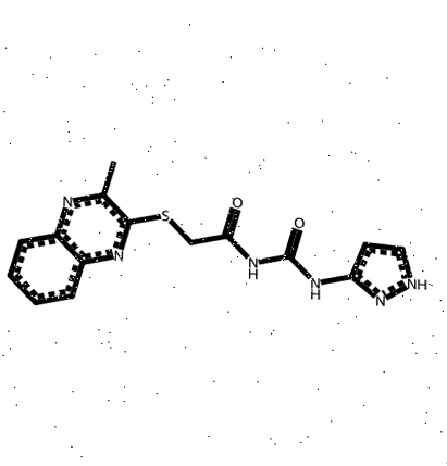 Cc1nc2ccccc2nc1SCC(=O)NC(=O)Nc1cc[nH]n1